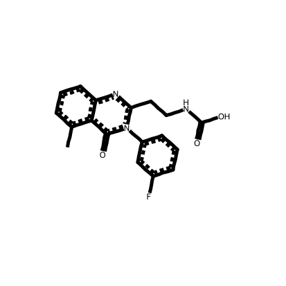 Cc1cccc2nc(CCNC(=O)O)n(-c3cccc(F)c3)c(=O)c12